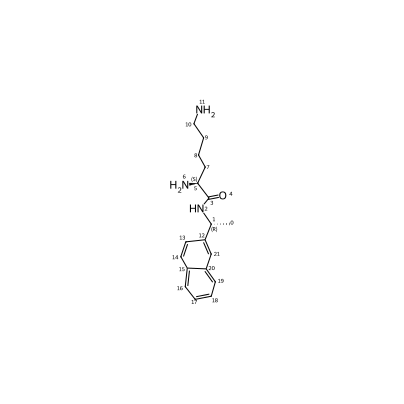 C[C@@H](NC(=O)[C@@H](N)CCCCN)c1ccc2ccccc2c1